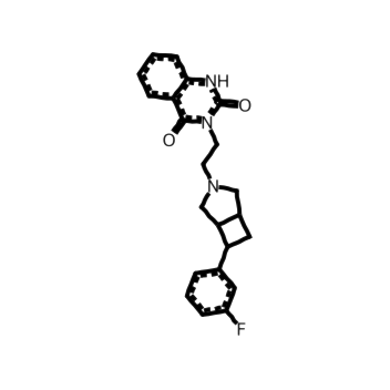 O=c1[nH]c2ccccc2c(=O)n1CCN1CC2CC(c3cccc(F)c3)C2C1